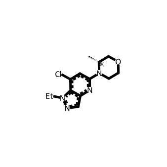 CCn1ncc2nc(N3CCOC[C@H]3C)cc(Cl)c21